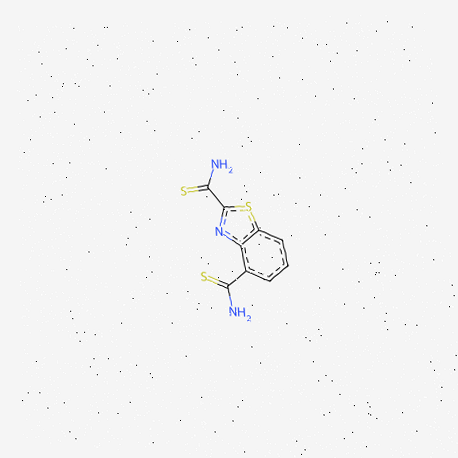 NC(=S)c1nc2c(C(N)=S)cccc2s1